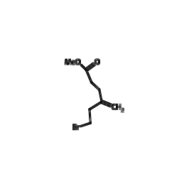 C=C(CCBr)CCC(=O)OC